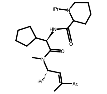 CC(=O)/C(C)=C/[C@H](C(C)C)N(C)C(=O)[C@H](NC(=O)C1CCCCN1C(C)C)C1CCCC1